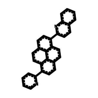 c1ccc(-c2ccc3ccc4c(-c5ccc6ccccc6n5)ccc5ccc2c3c54)nc1